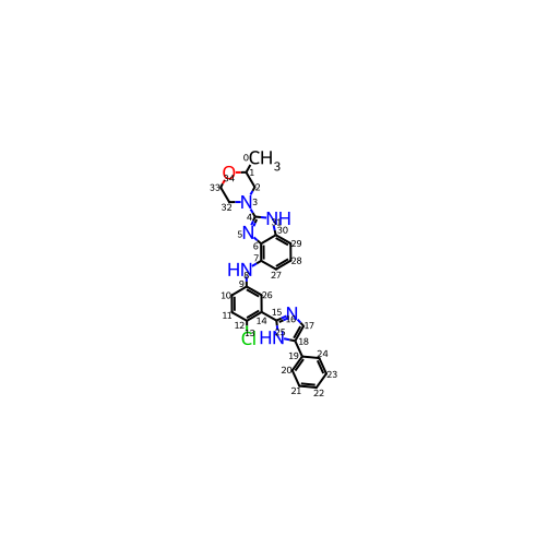 CC1CN(c2nc3c(Nc4ccc(Cl)c(-c5ncc(-c6ccccc6)[nH]5)c4)cccc3[nH]2)CCO1